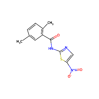 Cc1ccc(C)c(C(=O)Nc2ncc([N+](=O)[O-])s2)c1